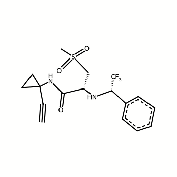 C#CC1(NC(=O)[C@H](CS(C)(=O)=O)N[C@@H](c2ccccc2)C(F)(F)F)CC1